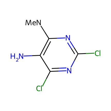 CNc1nc(Cl)nc(Cl)c1N